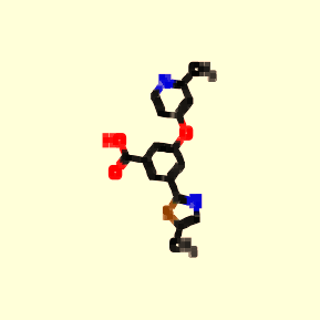 Cc1cc(Oc2cc(C(=O)O)cc(-c3ncc(C)s3)c2)ccn1